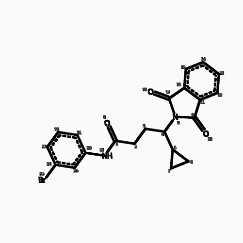 O=C(CCC(C1CC1)N1C(=O)c2ccccc2C1=O)Nc1cccc(Br)c1